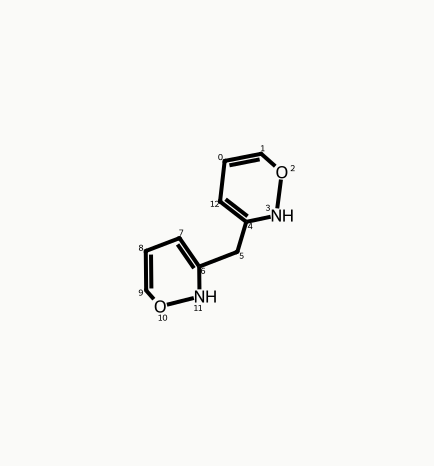 C1=CONC(CC2=CC=CON2)=C1